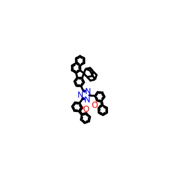 c1ccc2c3c(ccc2c1)-c1ccc(-c2nc(-c4cccc5c4oc4ccccc45)nc(-c4cccc5c4oc4ccccc45)n2)cc1C31C2CC3CC(C2)CC1C3